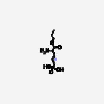 CCCOC(=O)C(N)/C=C/CP(=O)(O)O